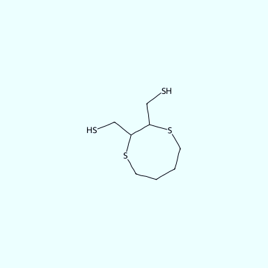 SCC1SCCCCSC1CS